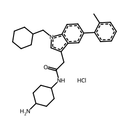 Cc1ccccc1-c1ccc2c(c1)c(CC(=O)NC1CCC(N)CC1)cn2CC1CCCCC1.Cl